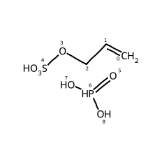 C=CCOS(=O)(=O)O.O=[PH](O)O